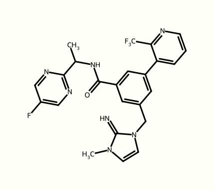 CC(NC(=O)c1cc(Cn2ccn(C)c2=N)cc(-c2cccnc2C(F)(F)F)c1)c1ncc(F)cn1